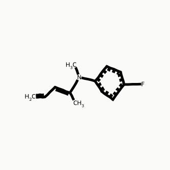 C=C/C=C(\C)N(C)c1ccc(F)cc1